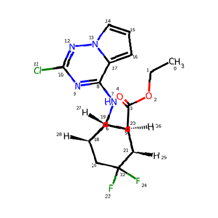 CCOC(=O)[C@@H]1[C@@H](Nc2nc(Cl)nn3cccc23)[C@@H]2CC[C@H]1C(F)(F)C2